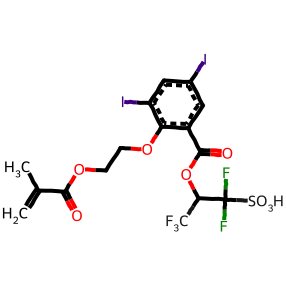 C=C(C)C(=O)OCCOc1c(I)cc(I)cc1C(=O)OC(C(F)(F)F)C(F)(F)S(=O)(=O)O